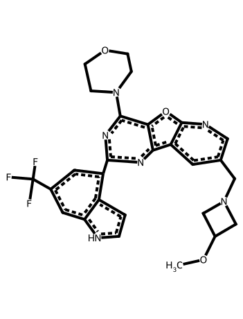 COC1CN(Cc2cnc3oc4c(N5CCOCC5)nc(-c5cc(C(F)(F)F)cc6[nH]ccc56)nc4c3c2)C1